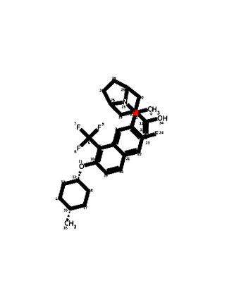 CC(c1cc2c(C(F)(F)F)c(O[C@H]3CC[C@@H](C)CC3)ccc2cc1F)N1C2CCC1CC(C(=O)O)C2